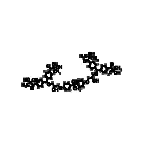 CC(C)(O)C(=O)c1ccc(C(OCC(O)COc2ccc(C(C)(C)c3ccc(OCC(O)COC(c4ccc(C(=O)C(C)(C)O)cc4)c4ccc(C(=O)C(C)(C)O)cc4)cc3)cc2)c2ccc(C(=O)C(C)(C)O)cc2)cc1